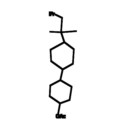 CC(=O)OC1CCC(C2CCC(C(C)(C)CC(C)C)CC2)CC1